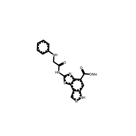 COC(=O)c1cc2[nH]ncc2c2sc(NC(=O)CNc3ccccc3)nc12